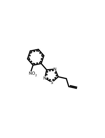 C=CCc1nc(-c2ccccc2[N+](=O)[O-])ns1